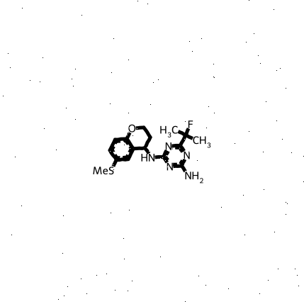 CSc1ccc2c(c1)C(Nc1nc(N)nc(C(C)(C)F)n1)CCO2